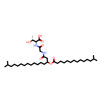 CC(C)CCCCCCCCCCCC(=O)OC(CCCCCCCCCCCC(C)C)CC(=O)NCC(=O)N[C@H](C(=O)O)[C@@H](C)O